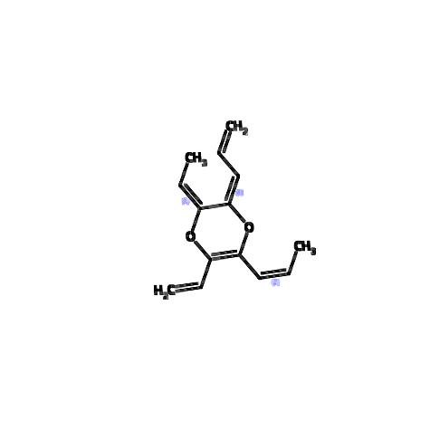 C=C/C=C1/OC(/C=C\C)=C(C=C)O/C1=C/C